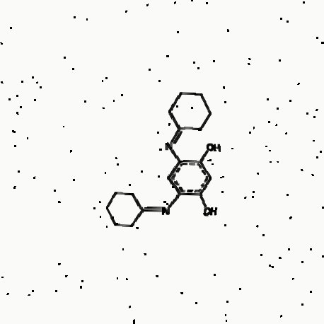 Oc1cc(O)c(N=C2CCCCC2)cc1N=C1CCCCC1